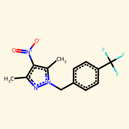 Cc1nn(Cc2ccc(C(F)(F)F)cc2)c(C)c1[N+](=O)[O-]